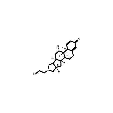 CC(C)CCN1C[C@@H]2C[C@H]3[C@@H]4CCC5=CC(=O)C=C[C@]5(C)[C@@]4(F)[C@@H](O)C[C@]3(C)[C@]2(C(=O)O)O1